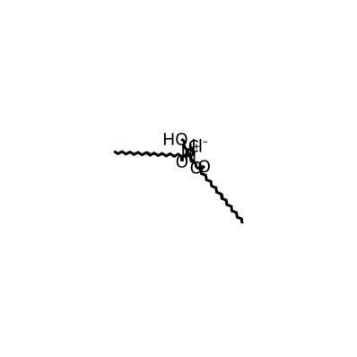 CCCCCCCCC=CCCCCCCCC(=O)OCCN1CC(I)[N+](CCO)=C1C(=O)CCCCCCCC=CCCCCCCCC.[Cl-]